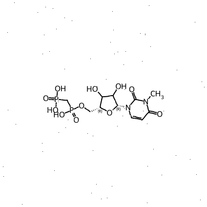 Cn1c(=O)ccn([C@@H]2O[C@H](COP(=O)(O)CP(=O)(O)O)C(O)C2O)c1=O